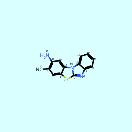 N#Cc1cc2sc3nc4ccccc4n3c2cc1N